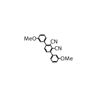 COc1cccc(-c2ccc(-c3cccc(OC)c3)c(C#N)c2C#N)c1